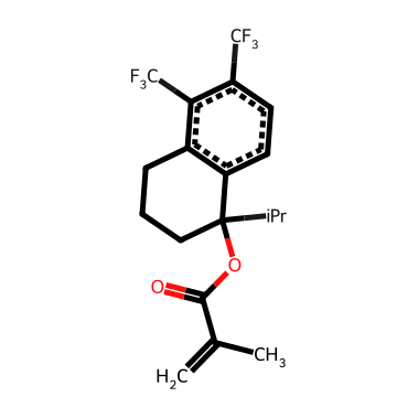 C=C(C)C(=O)OC1(C(C)C)CCCc2c1ccc(C(F)(F)F)c2C(F)(F)F